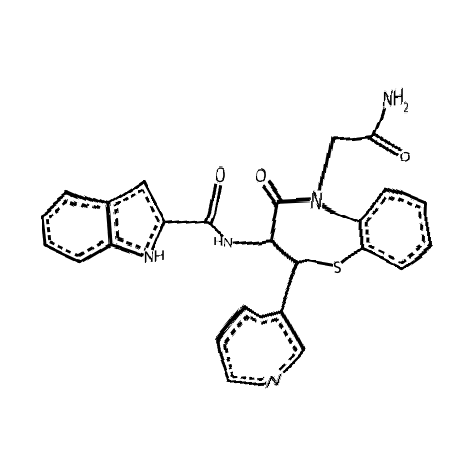 NC(=O)CN1C(=O)C(NC(=O)c2cc3ccccc3[nH]2)C(c2cccnc2)Sc2ccccc21